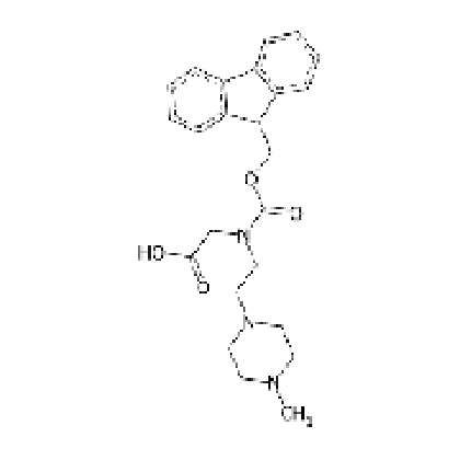 CN1CCN(CCN(CC(=O)O)C(=O)OCC2c3ccccc3-c3ccccc32)CC1